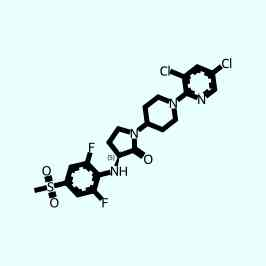 CS(=O)(=O)c1cc(F)c(N[C@H]2CCN(C3CCN(c4ncc(Cl)cc4Cl)CC3)C2=O)c(F)c1